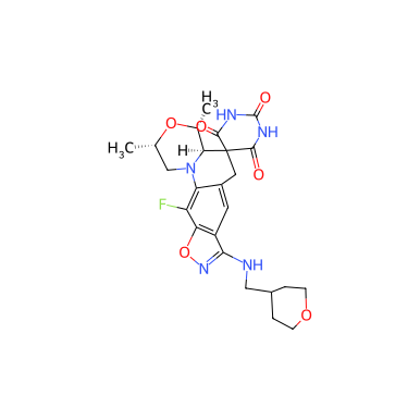 C[C@H]1CN2c3c(cc4c(NCC5CCOCC5)noc4c3F)CC3(C(=O)NC(=O)NC3=O)[C@@H]2[C@@H](C)O1